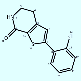 O=C1NCCc2cc(-c3ccccc3Cl)sc21